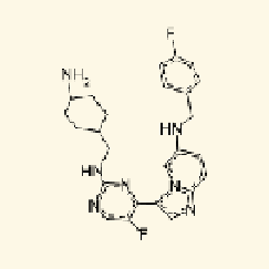 NC1CCC(CNc2ncc(F)c(-c3cnc4ccc(NCc5ccc(F)cc5)cn34)n2)CC1